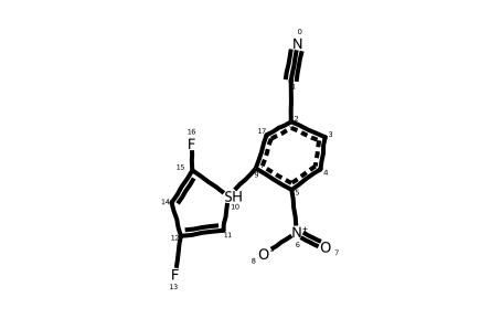 N#Cc1ccc([N+](=O)[O-])c([SH]2C=C(F)C=C2F)c1